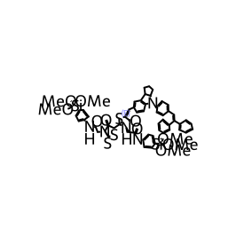 CO[Si](OC)(OC)c1ccc(NC(=O)CN2C(=O)C(C3S/C(=C/c4ccc5c(c4)C4CCCC4N5c4ccc(C=C(c5ccccc5)c5ccccc5)cc4)C(=O)N3CC(=O)Nc3ccc([Si](OC)(OC)OC)cc3)SC2=S)cc1